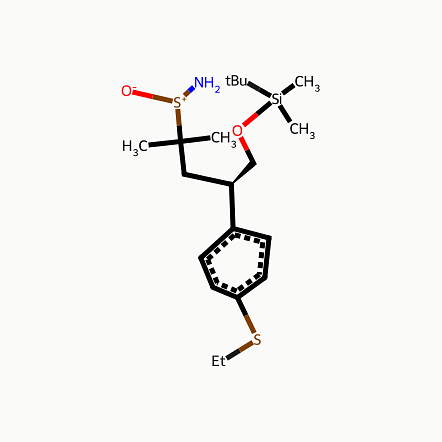 CCSc1ccc([C@H](CO[Si](C)(C)C(C)(C)C)CC(C)(C)[S+](N)[O-])cc1